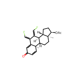 CC(=O)O[C@@H]1CC[C@H]2[C@@H]3C(=C\F)/C(=C\F)C4=CC(=O)C=C[C@]4(C)[C@H]3CC[C@]12C